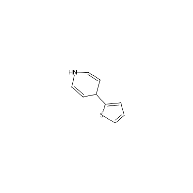 C1=CC(c2cccs2)C=CN1